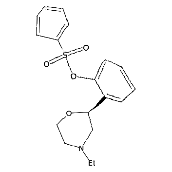 CCN1CCO[C@@H](c2ccccc2OS(=O)(=O)c2ccccc2)C1